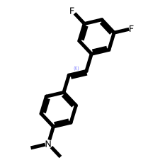 CN(C)c1ccc(/C=C/c2cc(F)cc(F)c2)cc1